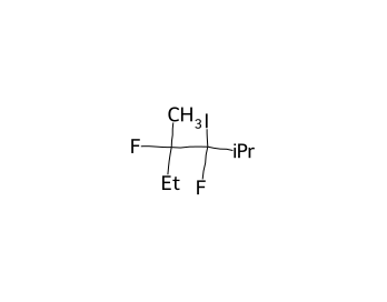 CCC(C)(F)C(F)(I)C(C)C